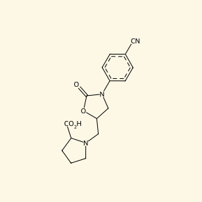 N#Cc1ccc(N2CC(CN3CCCC3C(=O)O)OC2=O)cc1